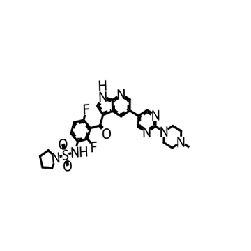 CN1CCN(c2ncc(-c3cnc4[nH]cc(C(=O)c5c(F)ccc(NS(=O)(=O)N6CCCC6)c5F)c4c3)cn2)CC1